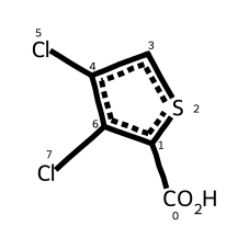 O=C(O)c1scc(Cl)c1Cl